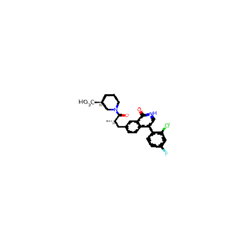 C[C@@H](Cc1ccc2c(-c3ccc(F)cc3Cl)c[nH]c(=O)c2c1)C(=O)N1CCC[C@H](C(=O)O)C1